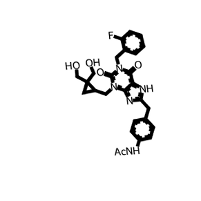 CC(=O)Nc1ccc(Cc2nc3c([nH]2)c(=O)n(Cc2ccccc2F)c(=O)n3CC2CC2(CO)CO)cc1